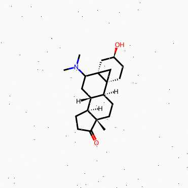 CN(C)C1C[C@@H]2[C@H](CC[C@]3(C)C(=O)CC[C@@H]23)[C@@]23CC[C@H](O)C[C@@]12C3